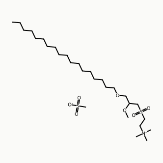 CCCCCCCCCCCCCCCCCCOCC(CS(=O)(=O)CC[N+](C)(C)C)OC.CS(=O)(=O)[O-]